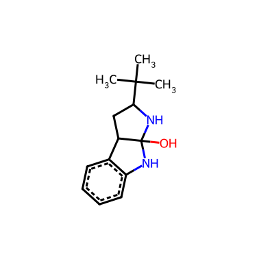 CC(C)(C)C1CC2c3ccccc3NC2(O)N1